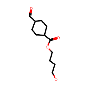 [O]CCCCOC(=O)C1CCC([C]=O)CC1